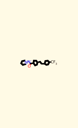 O=C([N-][n+]1ccccc1)c1ccc(/C=C/c2ccc(C(F)(F)F)cc2)cc1